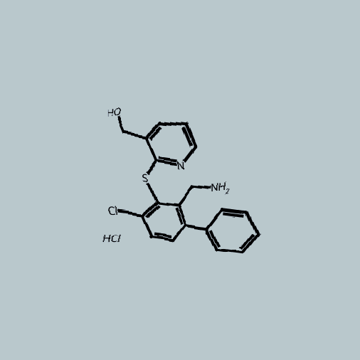 Cl.NCc1c(-c2ccccc2)ccc(Cl)c1Sc1ncccc1CO